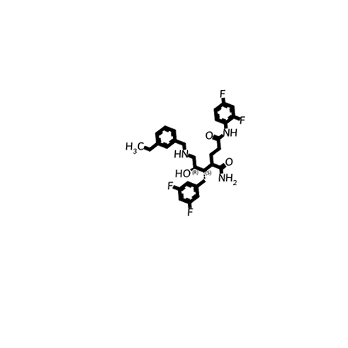 CCc1cccc(CNC[C@H](O)[C@@H](Cc2cc(F)cc(F)c2)C(CCC(=O)Nc2ccc(F)cc2F)C(N)=O)c1